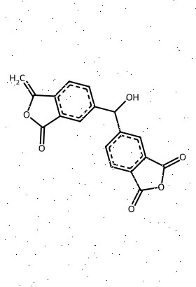 C=C1OC(=O)c2cc(C(O)c3ccc4c(c3)C(=O)OC4=O)ccc21